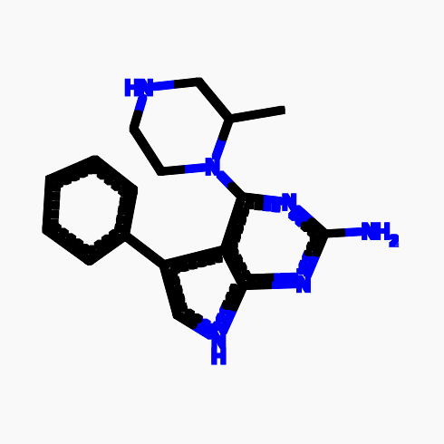 CC1CNCCN1c1nc(N)nc2[nH]cc(-c3ccccc3)c12